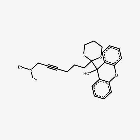 CCN(CC#CCCCC1(C2(O)c3ccccc3Oc3ccccc32)SCCCS1)C(C)C